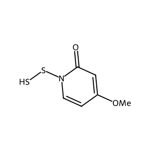 COc1ccn(SS)c(=O)c1